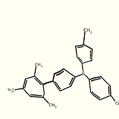 Cc1ccc(N(c2ccc(C)cc2)c2ccc(-c3c(C)cc(C)cc3C)cc2)cc1